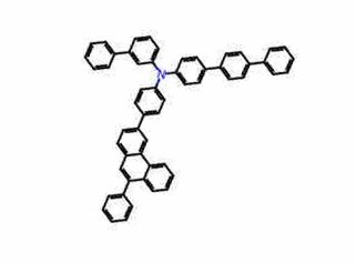 c1ccc(-c2ccc(-c3ccc(N(c4ccc(-c5ccc6cc(-c7ccccc7)c7ccccc7c6c5)cc4)c4cccc(-c5ccccc5)c4)cc3)cc2)cc1